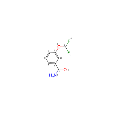 NC(=O)c1c[c]cc(OC(F)F)c1